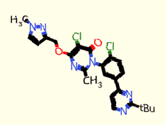 Cc1nc(OCc2ccn(C)n2)c(Cl)c(=O)n1-c1cc(-c2ccnc(C(C)(C)C)n2)ccc1Cl